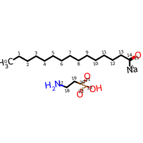 CCCCCCCCCCCCCC[C](=O)[Na].NCCS(=O)(=O)O